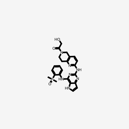 CP(C)(=O)c1ccccc1Nc1nc(Nc2ccc3c(n2)CCN(C(=O)CO)C3)nc2cc[nH]c12